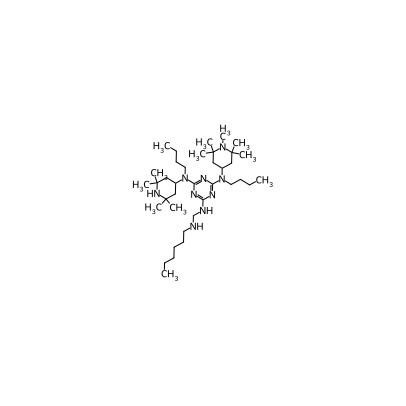 CCCCCCNCNc1nc(N(CCCC)C2CC(C)(C)NC(C)(C)C2)nc(N(CCCC)C2CC(C)(C)N(C)C(C)(C)C2)n1